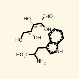 NC(Cc1c[nH]c2ccccc12)C(=O)O.O=C[C@H](O)[C@@H](O)[C@H](O)CO